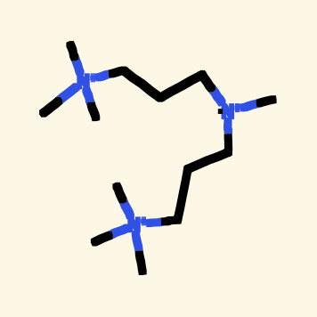 C[N+](CCC[N+](C)(C)C)CCC[N+](C)(C)C